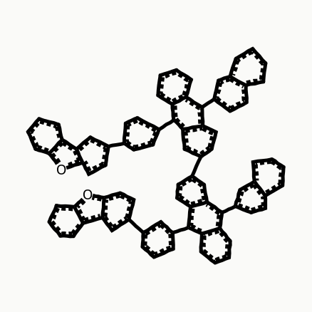 c1cc(-c2ccc3oc4ccccc4c3c2)cc(-c2c3ccccc3c(-c3ccc4ccccc4c3)c3cc(-c4ccc5c(-c6ccc7ccccc7c6)c6ccccc6c(-c6ccc(-c7ccc8oc9ccccc9c8c7)cc6)c5c4)ccc23)c1